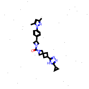 Cc1cc(C)n(-c2ccc(C3CN(C(=O)N4CC5(CC(c6nnc(C7CC7)[nH]6)C5)C4)C3)cc2)n1